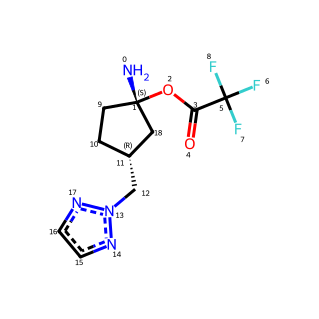 N[C@]1(OC(=O)C(F)(F)F)CC[C@@H](Cn2nccn2)C1